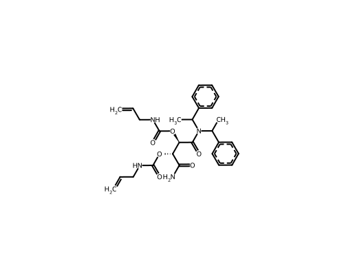 C=CCNC(=O)O[C@@H](C(N)=O)[C@@H](OC(=O)NCC=C)C(=O)N(C(C)c1ccccc1)C(C)c1ccccc1